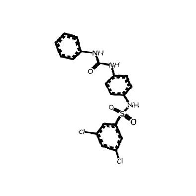 O=C(Nc1ccccc1)Nc1ccc(NS(=O)(=O)c2cc(Cl)cc(Cl)c2)cc1